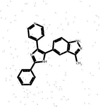 Cc1n[nH]c2ccc(-c3[nH]c(-c4ccccc4)nc3-c3ccncc3)cc12